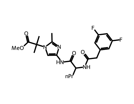 CCCC(NC(=O)Cc1cc(F)cc(F)c1)C(=O)Nc1cn(C(C)(C)C(=O)OC)c(C)n1